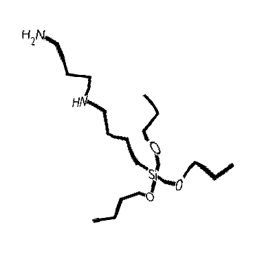 CCCO[Si](CCCCNCCCN)(OCCC)OCCC